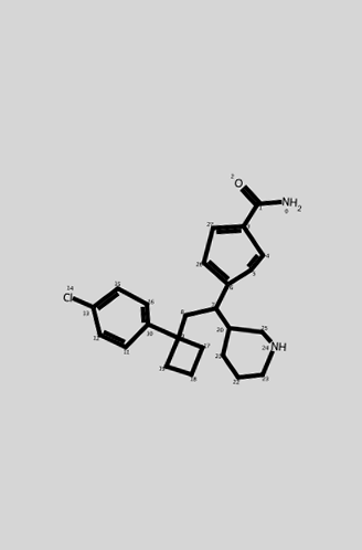 NC(=O)c1ccc(C(CC2(c3ccc(Cl)cc3)CCC2)C2CCCNC2)cc1